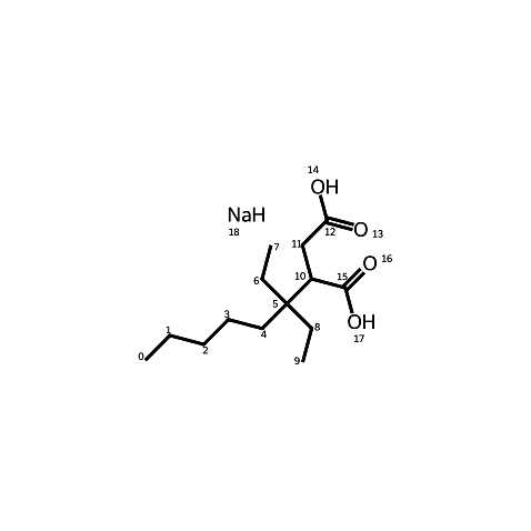 CCCCCC(CC)(CC)C(CC(=O)O)C(=O)O.[NaH]